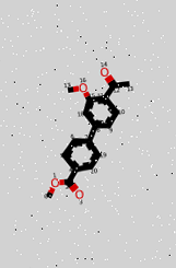 COC(=O)c1ccc(-c2ccc(C(C)=O)c(OC)c2)cc1